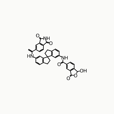 C=C(Nc1ccc2c(c1)C1(CC2)CCc2ccc(NC(=O)c3ccc4c(c3)C(=O)OC4O)cc21)c1ccc2c(c1)C(=O)NC2=O